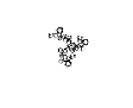 CCOc1ccccc1C(=O)OOC(=O)OCC(CC)(COC(=O)OOC(=O)c1ccccc1OCC)COC(=O)OOC(=O)c1ccccc1OCC